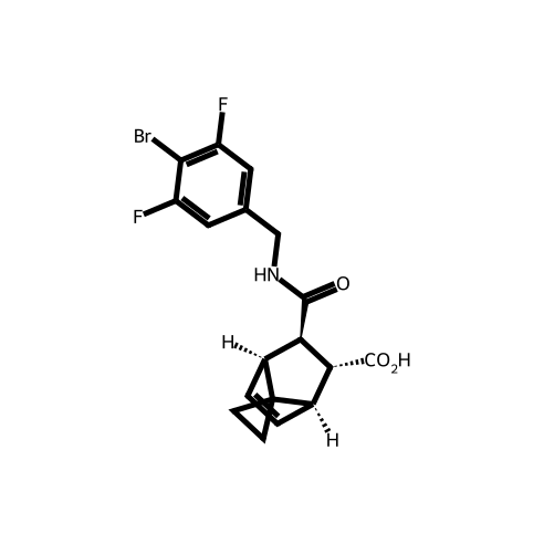 O=C(O)[C@H]1[C@H](C(=O)NCc2cc(F)c(Br)c(F)c2)[C@@H]2C=C[C@H]1C21CC1